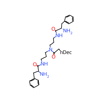 CCCCCCCCCCCC(=O)N(CCCNC(=O)[C@@H](N)Cc1ccccc1)CCCNC(=O)[C@@H](N)Cc1ccccc1